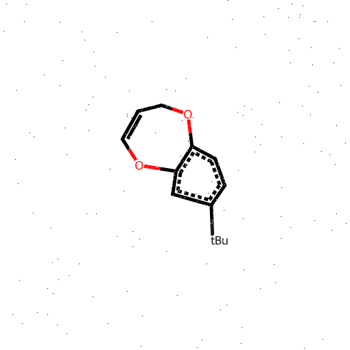 CC(C)(C)c1ccc2c(c1)OC=CCO2